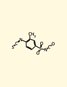 Cc1cc(S(=O)(=O)N=C=O)ccc1N=C=S